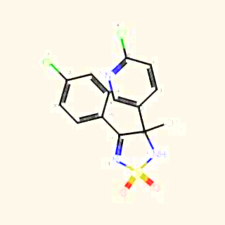 CC1(c2ccc(Cl)nc2)NS(=O)(=O)N=C1c1ccc(Cl)cc1